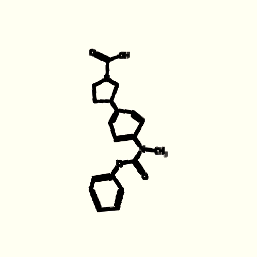 CN(C(=O)Oc1ccccc1)c1ccc(C2CCN(C(=O)O)C2)cc1